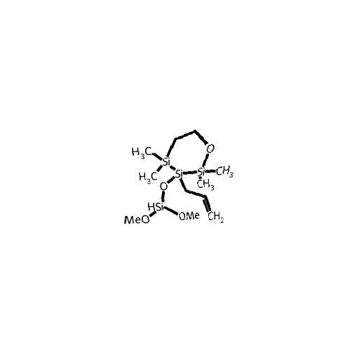 C=CC[Si]1(O[SiH](OC)OC)[Si](C)(C)CCO[Si]1(C)C